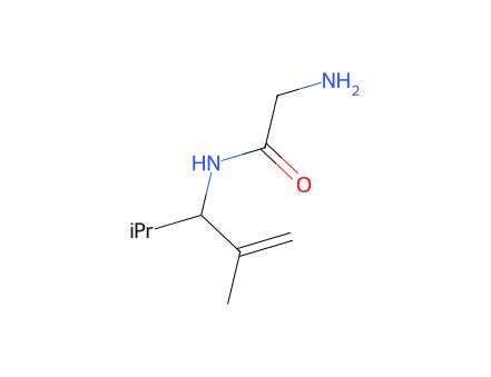 C=C(C)C(NC(=O)CN)C(C)C